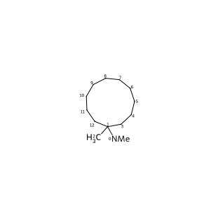 CNC1(C)CCCCCCCCCC1